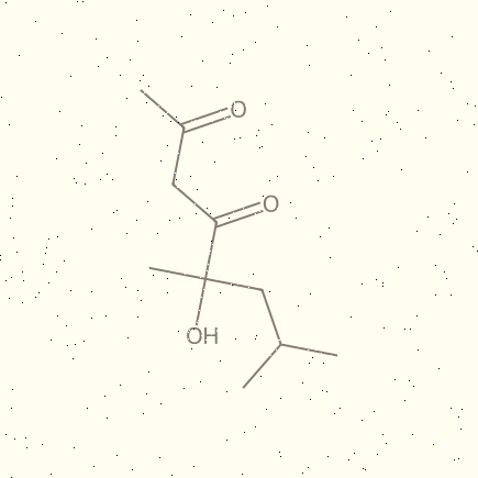 CC(=O)CC(=O)C(C)(O)CC(C)C